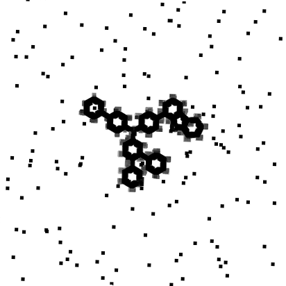 c1ccc(-c2ccc(N(c3ccc(-c4cccc5c4oc4ccccc45)cc3)c3ccc(-c4cccnc4)c(-c4ccccc4)c3)cc2)cc1